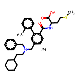 CSCCC(NC(=O)c1ccc(CN(CCC2CCCCC2)Cc2ccccc2)cc1-c1ccccc1C)C(=O)O.[LiH]